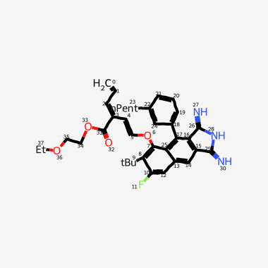 C=C/C=C(\C=C\Oc1c(C(C)(C)C)c(F)cc2cc3c(c(-c4cccc(CCCCC)c4)c12)C(=N)NC3=N)C(=O)OCCOCC